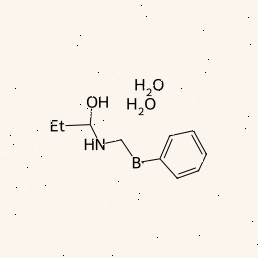 CCC(O)NC[B]c1ccccc1.O.O